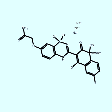 CCCC1(CCC)C(=O)C(C2=NS([O-])([O-])c3cc(OCC(N)=O)ccc3N2)=C([O-])c2cc(F)ccc21.[Na+].[Na+].[Na+]